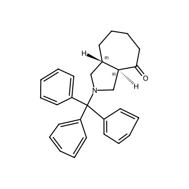 O=C1CCCC[C@H]2CN(C(c3ccccc3)(c3ccccc3)c3ccccc3)C[C@H]12